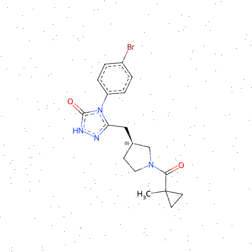 CC1(C(=O)N2CC[C@@H](Cc3n[nH]c(=O)n3-c3ccc(Br)cc3)C2)CC1